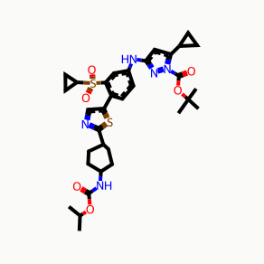 CC(C)OC(=O)NC1CCC(c2ncc(-c3ccc(Nc4cc(C5CC5)n(C(=O)OC(C)(C)C)n4)cc3S(=O)(=O)C3CC3)s2)CC1